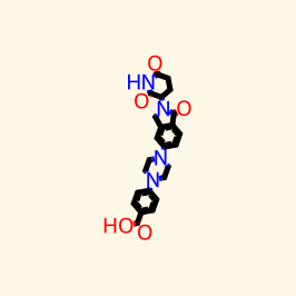 O=C1CCC(N2Cc3cc(N4CCN(c5ccc(C(=O)O)cc5)CC4)ccc3C2=O)C(=O)N1